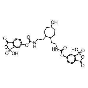 O=C(NCCC1CCC(O)CCC1CCNC(=O)Oc1ccc2c(c1)I(=O)(O)OC2=O)Oc1ccc2c(c1)I(=O)(O)OC2=O